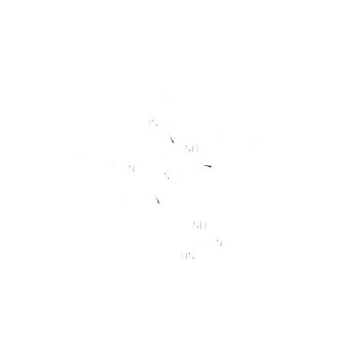 N=C(N)NCCC[C@H](NC(=O)[C@H](Cc1ccccc1)NC(=O)[C@@H]1CCCN1)C(=O)NC(=O)c1cccc2ccccc12